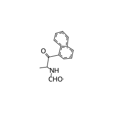 CC(N[C]=O)C(=O)c1cccc2ccccc12